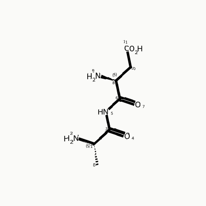 C[C@H](N)C(=O)NC(=O)[C@@H](N)CC(=O)O